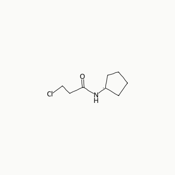 O=C(CCCl)N[C]1CCCC1